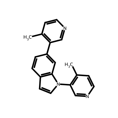 Cc1ccncc1-c1ccc2ccn(-c3cnccc3C)c2c1